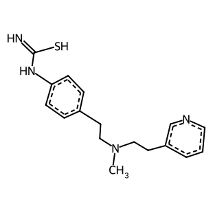 CN(CCc1ccc(NC(=N)S)cc1)CCc1cccnc1